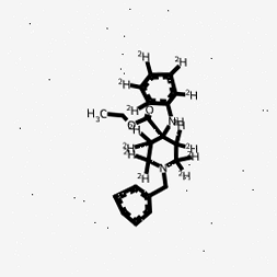 [2H]c1c([2H])c([2H])c(NC2(C(=O)OCC)C([2H])([2H])C([2H])([2H])N(Cc3ccccc3)C([2H])([2H])C2([2H])[2H])c([2H])c1[2H]